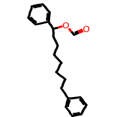 O=COC(CCCCCCCc1ccccc1)c1ccccc1